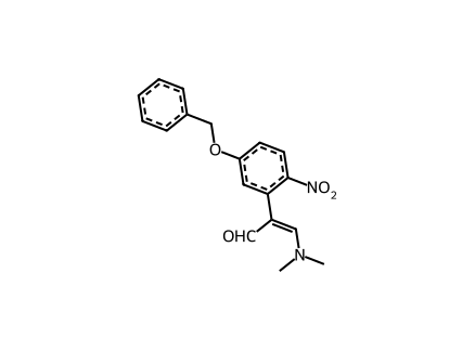 CN(C)C=C(C=O)c1cc(OCc2ccccc2)ccc1[N+](=O)[O-]